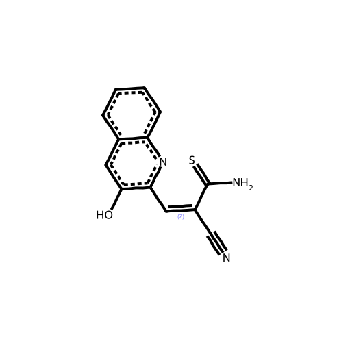 N#C/C(=C/c1nc2ccccc2cc1O)C(N)=S